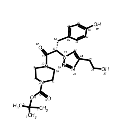 CC(C)(C)OC(=O)N1CCN(C(=O)[C@H](Cc2ccc(O)cc2)n2cc(CCO)nn2)CC1